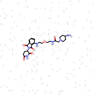 NC1CCN(CC(=O)NCCOCCNc2cccc3c2C(=O)N(C2CCC(=O)NC2=O)C3=O)CC1